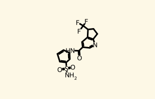 NS(=O)(=O)c1cccc(NC(=O)c2cnc3c(c2)C(C(F)(F)F)CC3)c1